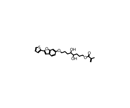 C=C(C)C(=O)OCCCC(O)C(O)CCCOc1ccc2cc(-c3cccs3)oc2c1